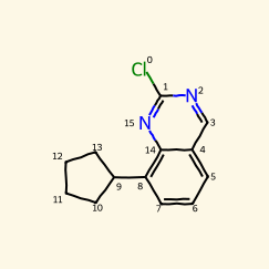 Clc1ncc2cccc(C3CCCC3)c2n1